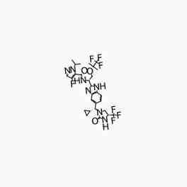 CC(C)n1ncc(F)c1C(=O)N[C@@H](COC(C)(C)C(F)(F)F)c1nc2cc([C@@H](C3CC3)N3C[C@@H](C(F)(F)F)NC3=O)ccc2[nH]1